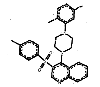 Cc1ccc(S(=O)(=O)c2cnc3ccccc3c2N2CCN(c3cc(C)ccc3C)CC2)cc1